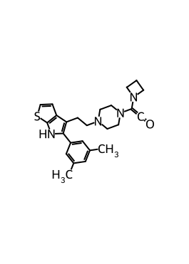 Cc1cc(C)cc(-c2[nH]c3sccc3c2CCN2CCN(C(=C=O)N3CCC3)CC2)c1